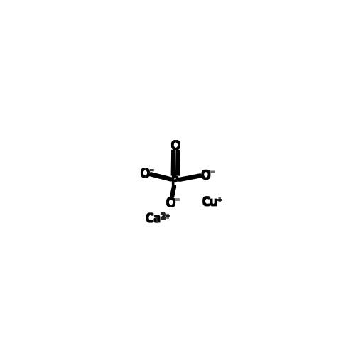 O=P([O-])([O-])[O-].[Ca+2].[Cu+]